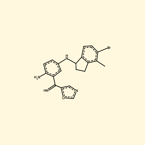 Cc1c(Br)ccc2c1CCC2Nc1ccc(N)c(C(=N)c2cnco2)c1